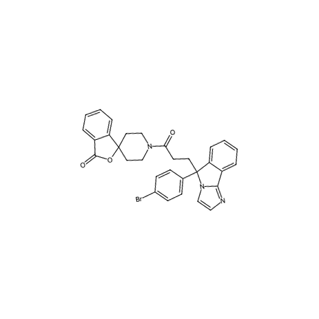 O=C1OC2(CCN(C(=O)CCC3(c4ccc(Br)cc4)c4ccccc4-c4nccn43)CC2)c2ccccc21